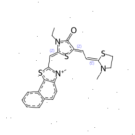 CCn1c(=O)/c(=C/C=C2\SCCN2C)s/c1=C\c1sc2c3ccccc3ccc2[n+]1C